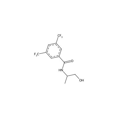 CC(CO)NC(=O)c1cc(C(F)(F)F)cc(C(F)(F)F)c1